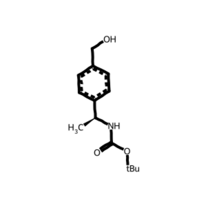 C[C@H](NC(=O)OC(C)(C)C)c1ccc(CO)cc1